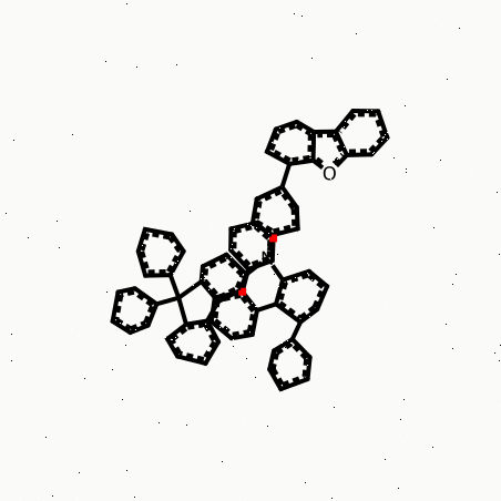 c1ccc(-c2ccccc2-c2c(-c3ccccc3)cccc2N(c2ccc(-c3cccc4c3oc3ccccc34)cc2)c2ccc3c(c2)-c2ccccc2C3(c2ccccc2)c2ccccc2)cc1